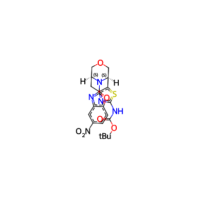 CC(C)(C)OC(=O)Nc1nc2c(s1)[C@@H]1COC[C@H](C2)N1c1nc2cc([N+](=O)[O-])ccc2o1